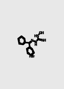 Br.N=C(NO)NN=C(c1ccccc1)c1ccccc1